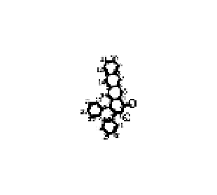 O=C1C(=O)c2cc3cc4ccccc4cc3cc2C(c2ccccc2)=C1c1ccccc1